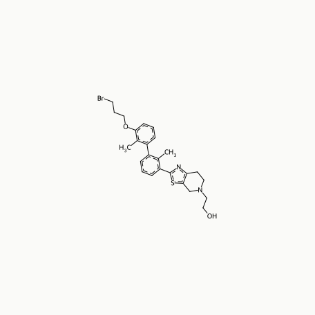 Cc1c(OCCCBr)cccc1-c1cccc(-c2nc3c(s2)CN(CCO)CC3)c1C